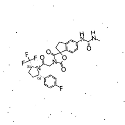 CNC(=O)Nc1ccc2c(c1)CCC21OC(=O)N(CC(=O)N2[C@H](c3ccc(F)cc3)CC[C@@H]2C(F)(F)F)C1=O